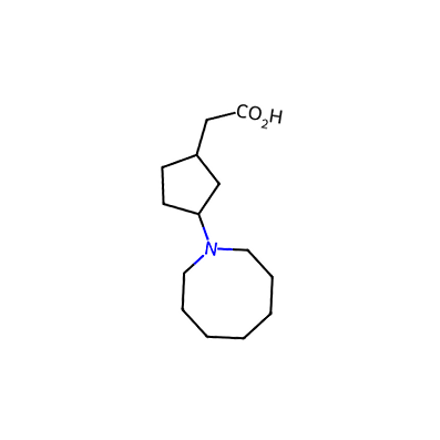 O=C(O)CC1CCC(N2CCCCCCC2)C1